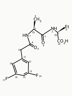 CC[C@H](NC(=O)[C@H](C)NC(=O)Cc1cc(F)cc(F)c1)C(=O)O